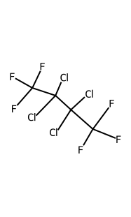 FC(F)(F)C(Cl)(Cl)C(Cl)(Cl)C(F)(F)F